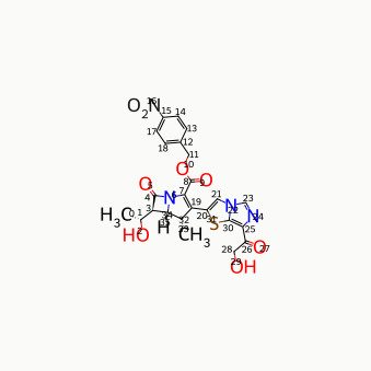 C[C@@H](O)[C@H]1C(=O)N2C(C(=O)OCc3ccc([N+](=O)[O-])cc3)=C(c3cn4cnc(C(=O)CO)c4s3)[C@H](C)[C@H]12